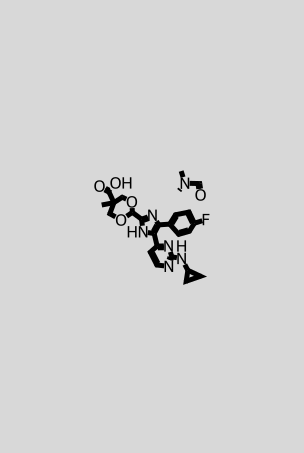 CC1(C(=O)O)COC(c2nc(-c3ccc(F)cc3)c(-c3ccnc(NC4CC4)n3)[nH]2)OC1.CN(C)C=O